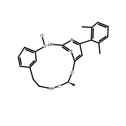 Cc1cccc(C)c1-c1cc2nc(n1)N[S+]([O-])c1cccc(c1)CCNC[C@H](C)O2